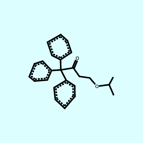 CC(C)OCCC(=O)C(c1ccccc1)(c1ccccc1)c1ccccc1